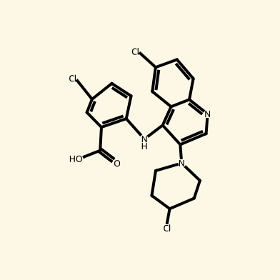 O=C(O)c1cc(Cl)ccc1Nc1c(N2CCC(Cl)CC2)cnc2ccc(Cl)cc12